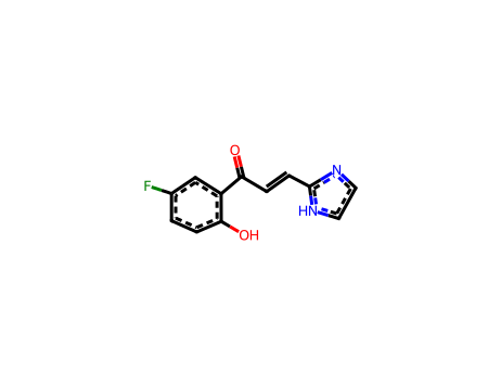 O=C(/C=C/c1ncc[nH]1)c1cc(F)ccc1O